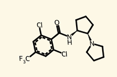 O=C(N[C@H]1CCC[C@H]1N1CCCC1)c1c(Cl)cc(C(F)(F)F)cc1Cl